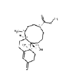 COC(=O)[C@H]1CC[C@H](C)[C@@H]2CCC3=CC(=O)CC[C@]3(C)[C@H]2[C@@H](O)CC1